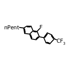 CCCCCc1ccc2c(F)c(-c3ccc(C(F)(F)F)cc3)ccc2c1